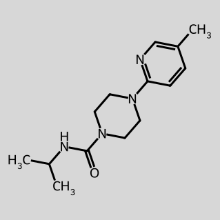 Cc1ccc(N2CCN(C(=O)NC(C)C)CC2)nc1